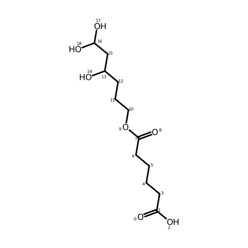 O=C(O)CCCCC(=O)OCCCC(O)CC(O)O